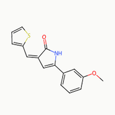 COc1cccc(C2=CC(=Cc3cccs3)C(=O)N2)c1